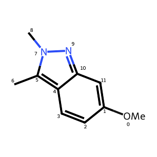 COc1ccc2c(C)n(C)nc2c1